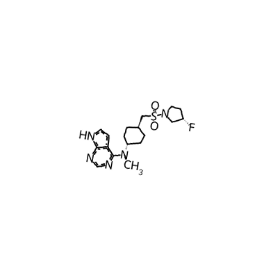 CN(c1ncnc2[nH]ccc12)[C@H]1CC[C@H](CS(=O)(=O)N2CC[C@H](F)C2)CC1